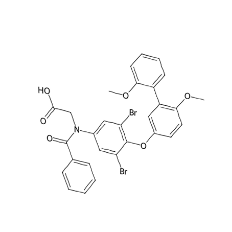 COc1ccccc1-c1cc(Oc2c(Br)cc(N(CC(=O)O)C(=O)c3ccccc3)cc2Br)ccc1OC